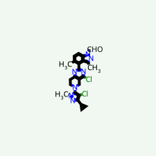 Cc1ccc2c(c(C)nn2C=O)c1-c1nc(Cl)c2c(n1)CCN(c1c(Cl)c(C3CC3)nn1C)C2